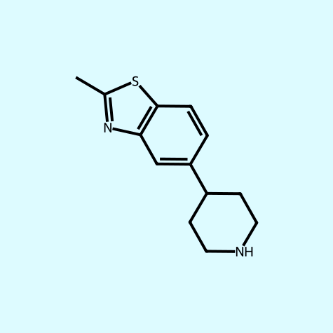 Cc1nc2cc(C3CCNCC3)ccc2s1